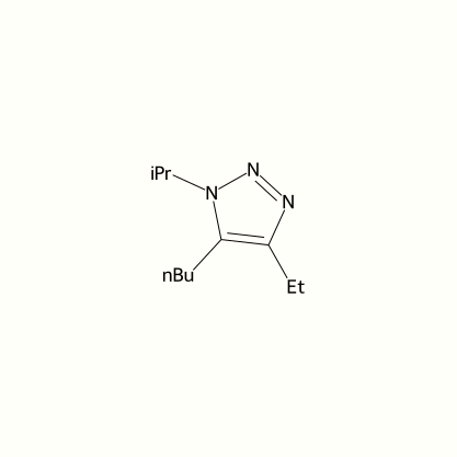 CCCCc1c(CC)nnn1C(C)C